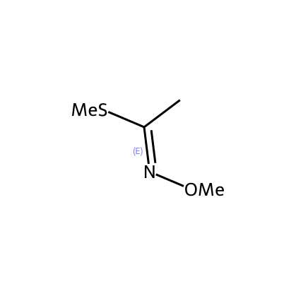 CO/N=C(\C)SC